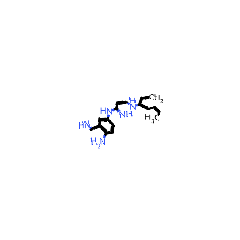 C=C/C(=C\C=C/C)N/C=C\C(=N)Nc1ccc(N)c(C=N)c1